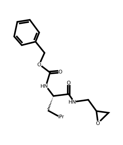 CC(C)C[C@H](NC(=O)OCc1ccccc1)C(=O)NCC1CO1